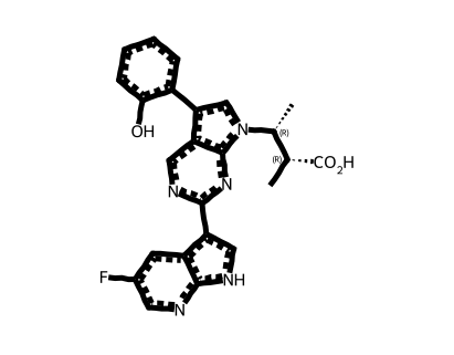 C[C@H]([C@@H](C)C(=O)O)n1cc(-c2ccccc2O)c2cnc(-c3c[nH]c4ncc(F)cc34)nc21